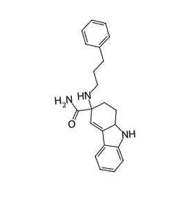 NC(=O)C1(NCCCc2ccccc2)C=C2c3ccccc3NC2CC1